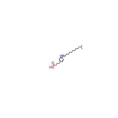 CC(C)CCCCCCCCCCNc1ccc(CCCC(=O)O)cc1